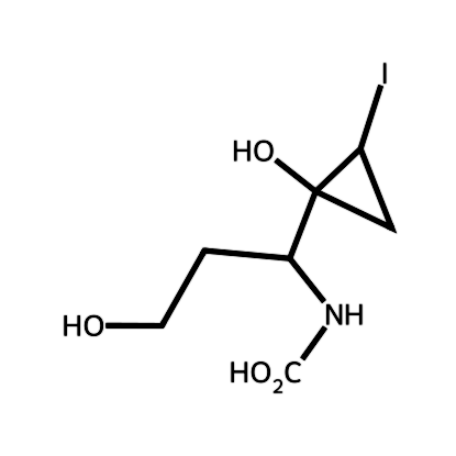 O=C(O)NC(CCO)C1(O)CC1I